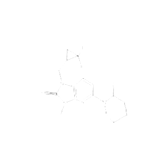 CC1CCCCN1c1ccc2c(n1)n(C)c(=O)n2CC1CC1(F)F